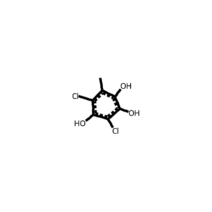 Cc1c(O)c(O)c(Cl)c(O)c1Cl